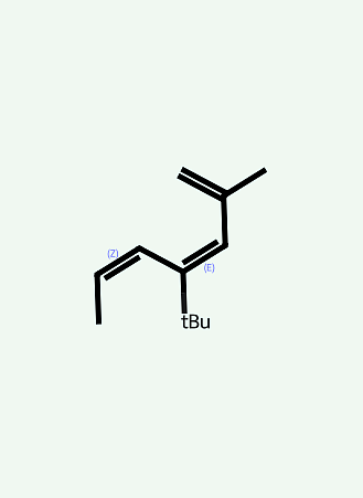 C=C(C)/C=C(\C=C/C)C(C)(C)C